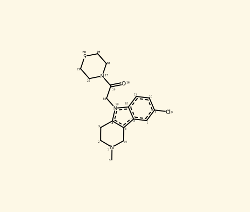 CN1CCc2c(c3cc(Cl)ccc3n2CC(=O)N2CCSCC2)C1